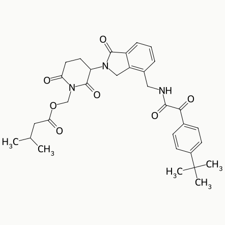 CC(C)CC(=O)OCN1C(=O)CCC(N2Cc3c(CNC(=O)C(=O)c4ccc(C(C)(C)C)cc4)cccc3C2=O)C1=O